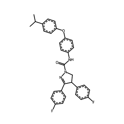 CC(C)c1ccc(Oc2ccc(NC(=O)N3CC(c4ccc(F)cc4)C(c4ccc(F)cc4)=N3)cc2)cc1